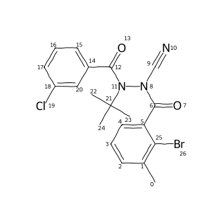 Cc1cccc(C(=O)N(C#N)N(C(=O)c2cccc(Cl)c2)C(C)(C)C)c1Br